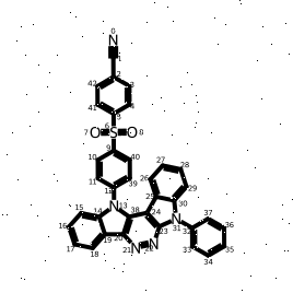 N#Cc1ccc(S(=O)(=O)c2ccc(-n3c4ccccc4c4nnc5c(c6ccccc6n5-c5ccccc5)c43)cc2)cc1